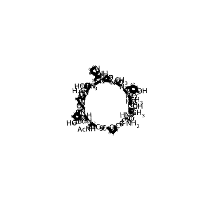 CC(=O)N[C@H]1CSCc2cccc(c2)CSC[C@H](C(N)=O)NC(=O)[C@H]([C@@H](C)O)NC(=O)[C@](C)(C(C)C)NC(=O)[C@H](Cc2ccc(O)cc2)NC(=O)[C@H](C)NC(=O)C2(CCC2)NC(=O)[C@H](Cc2c[nH]c3ncccc23)NC(=O)[C@H](C(C)(C)O)NC(=O)[C@@H]2CCCN2C(=O)[C@H](Cc2ccc(O)cc2)NC(=O)[C@H](C(C)(C)C)NC1=O